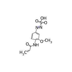 C=CC(=O)Nc1ccc(/N=N/S(=O)(=O)O)cc1OC